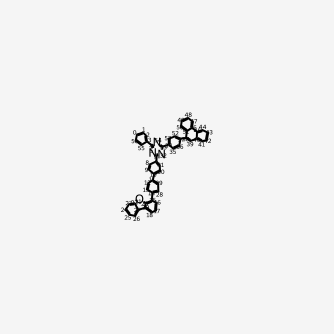 c1ccc(-c2nc(-c3ccc(-c4ccc(-c5cccc6c5oc5ccccc56)cc4)cc3)nc(-c3ccc(-c4cc5ccccc5c5ccccc45)cc3)n2)cc1